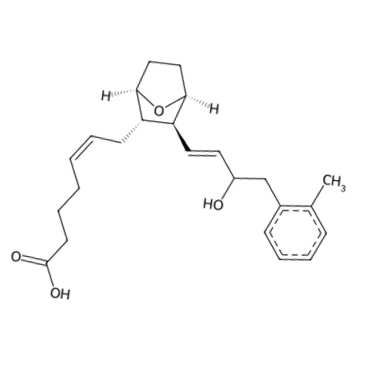 Cc1ccccc1CC(O)/C=C/[C@H]1[C@H](C/C=C\CCCC(=O)O)[C@H]2CC[C@@H]1O2